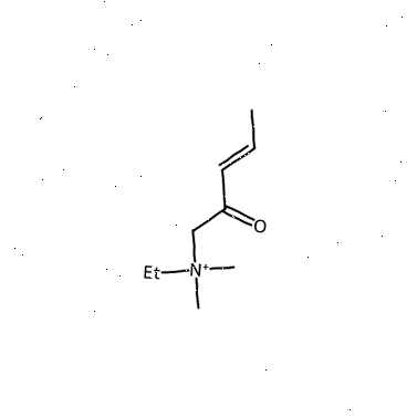 CC=CC(=O)C[N+](C)(C)CC